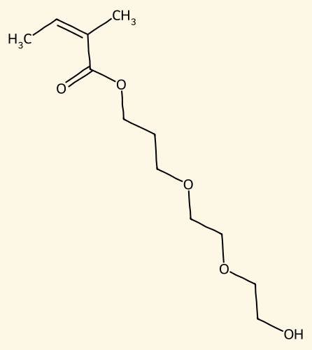 CC=C(C)C(=O)OCCCOCCOCCO